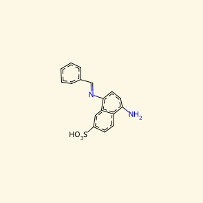 Nc1ccc(/N=C/c2ccccc2)c2cc(S(=O)(=O)O)ccc12